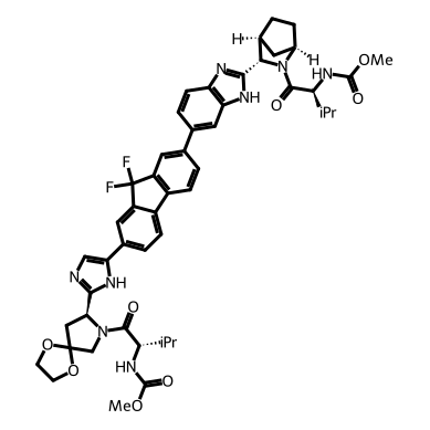 COC(=O)N[C@H](C(=O)N1CC2(C[C@H]1c1ncc(-c3ccc4c(c3)C(F)(F)c3cc(-c5ccc6nc([C@@H]7[C@H]8CC[C@H](C8)N7C(=O)[C@@H](NC(=O)OC)C(C)C)[nH]c6c5)ccc3-4)[nH]1)OCCO2)C(C)C